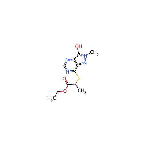 CCOC(=O)C(C)Sc1ncnc2c(O)n(C)nc12